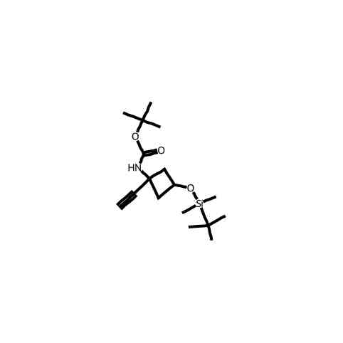 C#CC1(NC(=O)OC(C)(C)C)CC(O[Si](C)(C)C(C)(C)C)C1